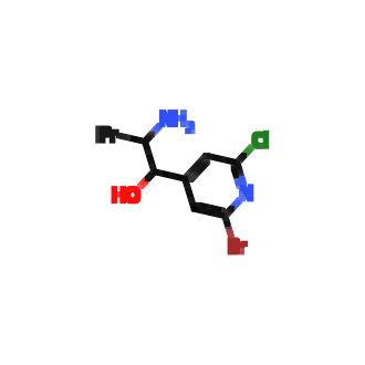 CC(C)C(N)C(O)c1cc(Cl)nc(Br)c1